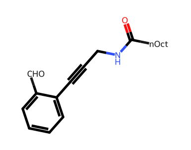 CCCCCCCCC(=O)NCC#Cc1ccccc1C=O